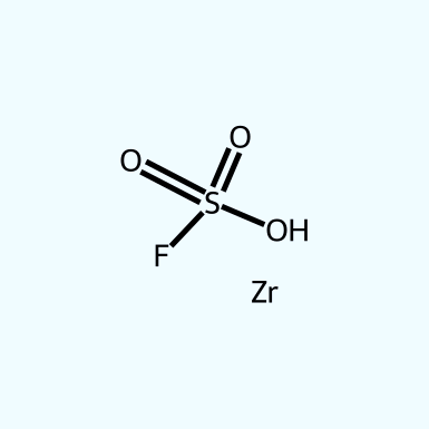 O=S(=O)(O)F.[Zr]